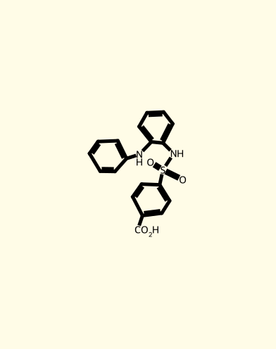 O=C(O)c1ccc(S(=O)(=O)Nc2ccccc2Nc2ccccc2)cc1